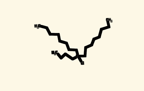 CCCCCCCC[Si](Cl)(CCCC)CCCCCCCC